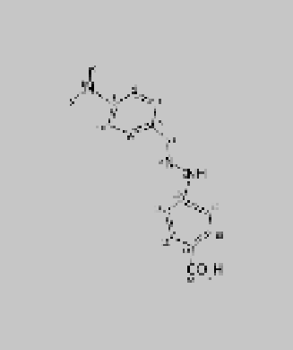 CN(C)c1ccc(/C=N/Nc2ccc(C(=O)O)cc2)cc1